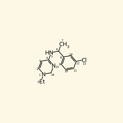 CCN1C=CC(NC(C)c2cccc(Cl)c2)=NC1